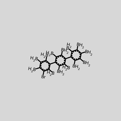 Bc1c(B)c(B)c(-c2c(B)c(B)c(-c3c(B)c(B)c(B)c(Br)c3B)c(B)c2B)c(B)c1B